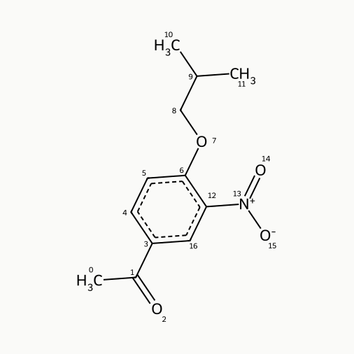 CC(=O)c1ccc(OCC(C)C)c([N+](=O)[O-])c1